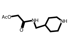 CC(=O)OCC(=O)NCC1CCNCC1